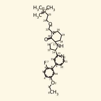 CCOc1ccc(F)c(-c2ccnc([C@H]3CC[C@]4(CCCN(COCC[Si](C)(C)C)C4=O)N3)c2)c1